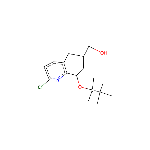 CC(C)(C)[Si](C)(C)OC1CC(CO)Cc2ccc(Cl)nc21